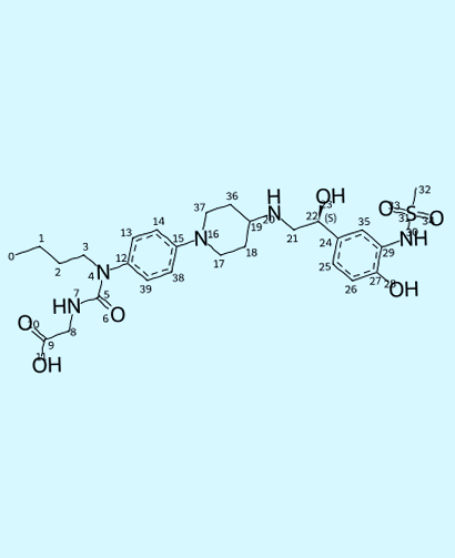 CCCCN(C(=O)NCC(=O)O)c1ccc(N2CCC(NC[C@@H](O)c3ccc(O)c(NS(C)(=O)=O)c3)CC2)cc1